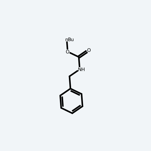 CCCCOC(=O)NCc1ccccc1